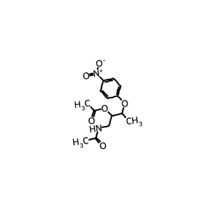 CC(=O)NCC(OC(C)=O)C(C)Oc1ccc([N+](=O)[O-])cc1